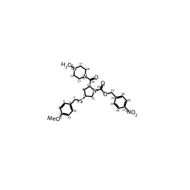 COc1ccc(CS[C@H]2C[C@@H](C(=O)N3CCN(C)CC3)N(C(=O)OCc3ccc([N+](=O)[O-])cc3)C2)cc1